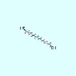 C#CCCOCCCCCCCCCCOCCC#C